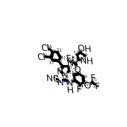 CCN(C(=O)[C@H]1C[C@@H](O)CN1)C1CN(/C(=N\C#N)Nc2cccc(OC(F)F)c2F)N=C1c1ccc(Cl)c(Cl)c1